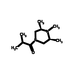 CC(C)C(=O)N1C[C@@H](C)N(C)[C@@H](C)C1